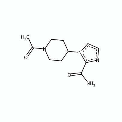 CC(=O)N1CCC(n2c[c]nc2C(N)=O)CC1